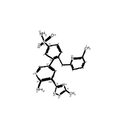 Cc1cccc(Cc2ccc(S(N)(=O)=O)cc2-c2cnc(N)c(-c3nc(C)no3)c2)n1